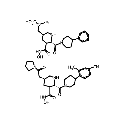 CC(C)N(CC1CN[C@H](C(=O)N2CCC(c3ccccc3)CC2)C(C(=O)NO)C1)C(=O)O.Cc1cc(C#N)ccc1C1CCN(C(=O)[C@H]2NC[C@H](CC(=O)N3CCCC3)C[C@@H]2C(=O)NO)CC1